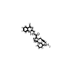 CC#CCn1c(C(=O)NCc2nc(C)c3ccccc3n2)nnc1N1CCCC(N)C1